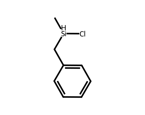 C[SiH](Cl)Cc1ccccc1